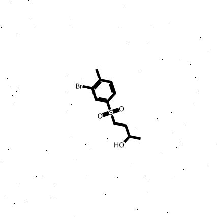 Cc1ccc(S(=O)(=O)CCC(C)O)cc1Br